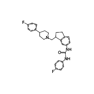 O=C(Nc1ccc(F)cc1)Nc1ccc2c(c1)C(CN1CCC(c3ccc(F)cc3)CC1)CC2